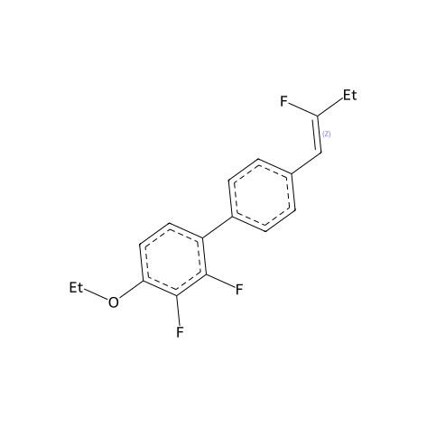 CCOc1ccc(-c2ccc(/C=C(\F)CC)cc2)c(F)c1F